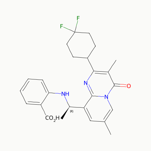 Cc1cc([C@@H](C)Nc2ccccc2C(=O)O)c2nc(C3CCC(F)(F)CC3)c(C)c(=O)n2c1